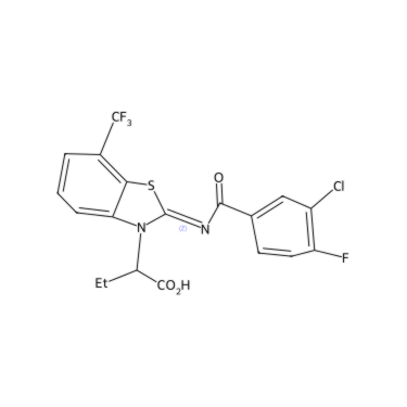 CCC(C(=O)O)n1/c(=N/C(=O)c2ccc(F)c(Cl)c2)sc2c(C(F)(F)F)cccc21